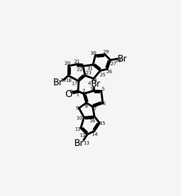 O=C(c1c(Br)ccc2c1Cc1cc(Br)ccc1-2)c1c(Br)ccc2c1Cc1cc(Br)ccc1-2